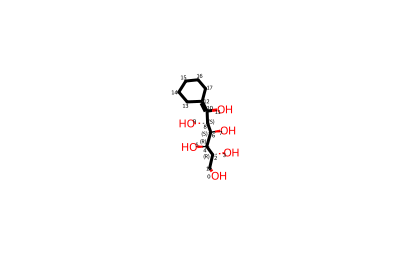 OC[C@@H](O)[C@@H](O)[C@H](O)[C@H](O)C(O)=C1CCCCC1